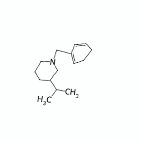 CC(C)C1CCCN(CC2=CCCC=C2)C1